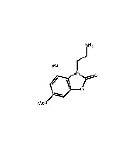 COc1ccc2c(c1)oc(=O)n2CCN.Cl